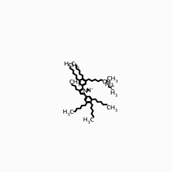 CCCCCCc1cc(C2=CC(CCCC)=C(c3cc(CCCCCC)c(CCCCCC)c(CCCCCC)c3)[N+]2=[N-])cc(CCCCCC)c1CCCCCC.C[CH2][Ni][CH2]C